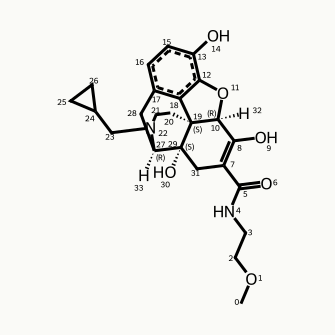 COCCNC(=O)C1=C(O)[C@@H]2Oc3c(O)ccc4c3[C@@]23CCN(CC2CC2)[C@H](C4)[C@]3(O)C1